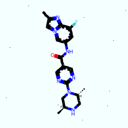 Cc1cn2cc(NC(=O)c3cnc(N4C[C@H](C)NC[C@H]4C)nc3)cc(F)c2n1